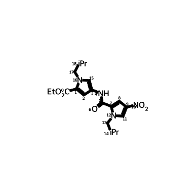 CCOC(=O)c1cc(NC(=O)c2cc([N+](=O)[O-])cn2CC(C)C)cn1CC(C)C